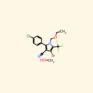 CCOCn1c(-c2ccc(Cl)cc2)c(C#N)c(Br)c1C(F)(F)F.CO